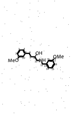 COc1cccc(C[CH][C@@H](O)CNCc2cccc(OC)c2)c1